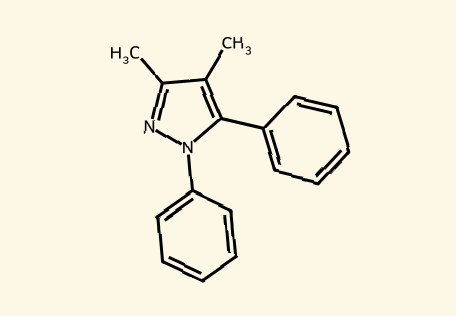 Cc1nn(-c2ccccc2)c(-c2ccccc2)c1C